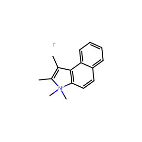 CC1=C(C)[N+](C)(C)c2ccc3ccccc3c21.[I-]